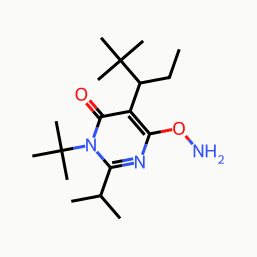 CCC(c1c(ON)nc(C(C)C)n(C(C)(C)C)c1=O)C(C)(C)C